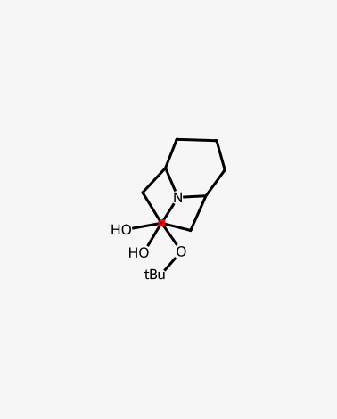 CC(C)(C)OC(O)N1C2CCCC1CC(O)C2